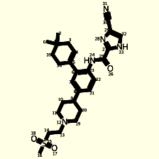 CC1(C)CC=C(c2cc(C3CCN(CCS(C)(=O)=O)CC3)ccc2NC(=O)c2nc(C#N)c[nH]2)CC1